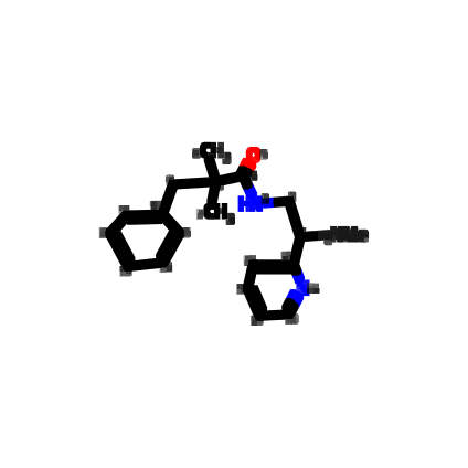 CNC(CNC(=O)C(C)(C)Cc1ccccc1)c1ccccn1